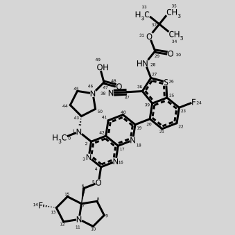 CN(c1nc(OC[C@@]23CCCN2C[C@H](F)C3)nc2nc(-c3ccc(F)c4sc(NC(=O)OC(C)(C)C)c(C#N)c34)ccc12)[C@@H]1CCN(C(=O)O)C1